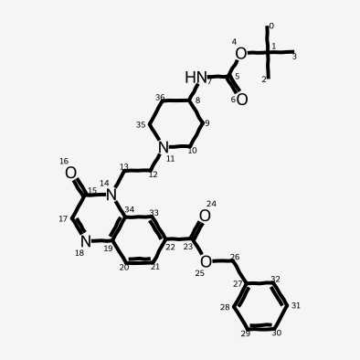 CC(C)(C)OC(=O)NC1CCN(CCn2c(=O)cnc3ccc(C(=O)OCc4ccccc4)cc32)CC1